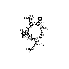 CC(=O)N[C@@H](CCCNC(=N)N)C(=O)N[C@H]1CCC(=O)NCCC[C@@H](C(N)=O)NC(=O)C(Cc2c[nH]c3ccccc23)NC(=O)[C@H](CCCNC(=N)N)NC(=O)[C@@H](Cc2ccccc2Cl)NC(=O)[C@H]([C@@H](C)O)NC1=O